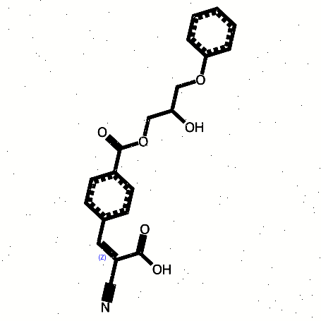 N#C/C(=C/c1ccc(C(=O)OCC(O)COc2ccccc2)cc1)C(=O)O